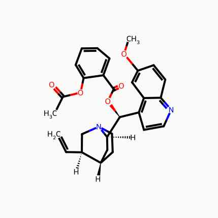 C=C[C@H]1CN2CC[C@H]1C[C@@H]2[C@@H](OC(=O)c1ccccc1OC(C)=O)c1ccnc2ccc(OC)cc12